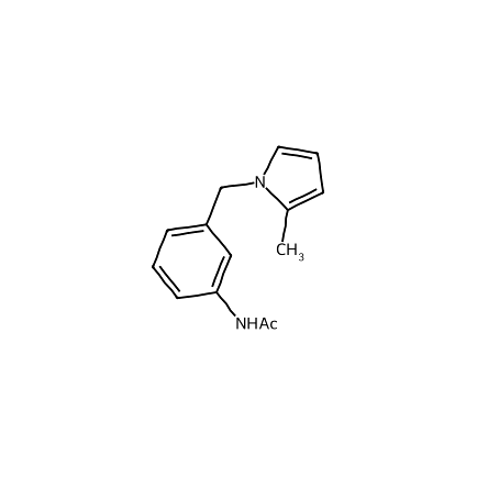 CC(=O)Nc1cccc(Cn2cccc2C)c1